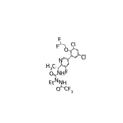 CCN(NC(=O)C(F)(F)F)C(=O)N[C@H](C)c1ncc(-c2cc(Cl)cc(Cl)c2OCC(F)F)cc1F